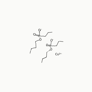 CCCCOP(=O)([O-])CCC.CCCCOP(=O)([O-])CCC.[Co+2]